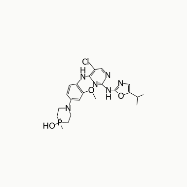 COc1cc(N2CC[P](C)(O)CC2)ccc1Nc1nc(Nc2ncc(C(C)C)o2)ncc1Cl